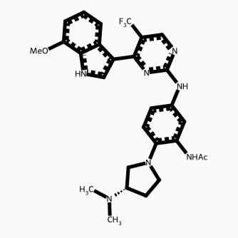 COc1cccc2c(-c3nc(Nc4ccc(N5CC[C@H](N(C)C)C5)c(NC(C)=O)c4)ncc3C(F)(F)F)c[nH]c12